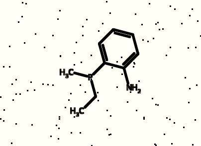 CCP(C)c1ccccc1N